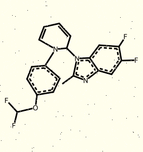 Cc1nc2cc(F)c(F)cc2n1C1C=CC=CN1c1ccc(OC(F)F)cc1